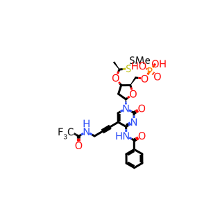 CSS[C@H](C)OC1C[C@H](n2cc(C#CCNC(=O)C(F)(F)F)c(NC(=O)c3ccccc3)nc2=O)O[C@@H]1COP(=O)(O)O